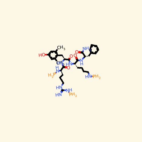 Cc1cc(O)cc(C)c1C[C@H](NC(=O)[C@@H](CCCNC(=N)NP)NP)C(=O)N[C@@H](CCCCNP)C(=O)N[C@@H](Cc1ccccc1)C(N)=O